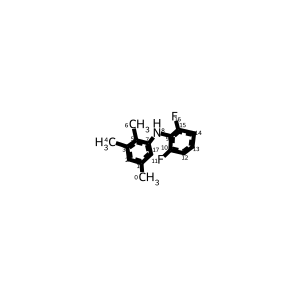 Cc1cc(C)c(C)c(Nc2c(F)cccc2F)c1